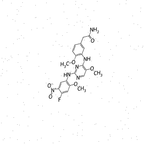 COc1cc(F)c([N+](=O)[O-])cc1Nc1ncc(OC)c(Nc2cc(CC(N)=O)ccc2OC)n1